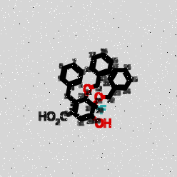 O=C(O)C1=C(Cc2ccccc2)C(OCc2ccccc2)C(F)(OCc2ccccc2)C(O)=C1